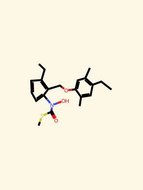 CCc1cc(C)c(OCc2c(CC)cccc2N(O)C(=O)SC)cc1C